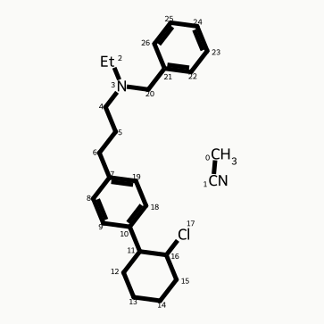 CC#N.CCN(CCCc1ccc(C2CCCCC2Cl)cc1)Cc1ccccc1